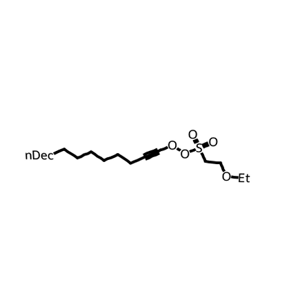 CCCCCCCCCCCCCCCCC#COOS(=O)(=O)CCOCC